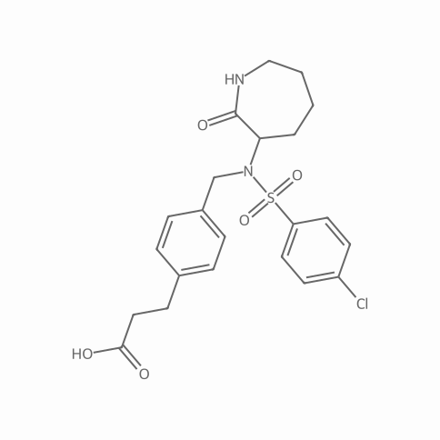 O=C(O)CCc1ccc(CN(C2CCCCNC2=O)S(=O)(=O)c2ccc(Cl)cc2)cc1